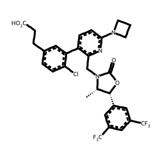 C[C@H]1[C@@H](c2cc(C(F)(F)F)cc(C(F)(F)F)c2)OC(=O)N1Cc1nc(N2CCC2)ccc1-c1cc(CCC(=O)O)ccc1Cl